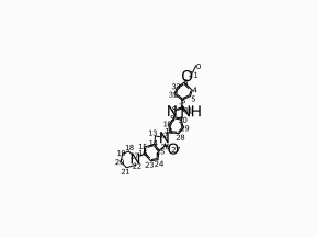 CCOc1ccc(-c2nc3cc(N4Cc5cc(N6CCCCC6)ccc5C4=O)ccc3[nH]2)cc1